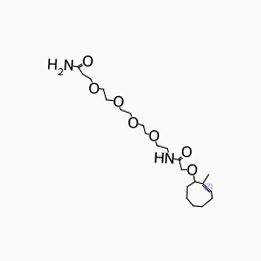 C/C1=C/CCCCCC1OCC(=O)NCCOCCOCCOCCOCCC(N)=O